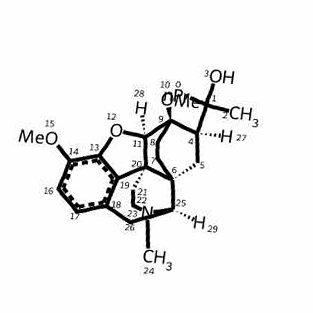 CCCC(C)(O)[C@H]1C[C@@]23CC[C@]1(OC)[C@@H]1Oc4c(OC)ccc5c4[C@@]12CCN(C)[C@@H]3C5